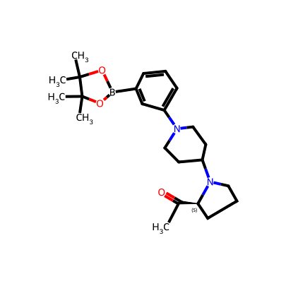 CC(=O)[C@@H]1CCCN1C1CCN(c2cccc(B3OC(C)(C)C(C)(C)O3)c2)CC1